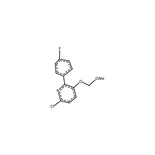 COCOc1ccc(Cl)nc1-c1ccc(F)cc1